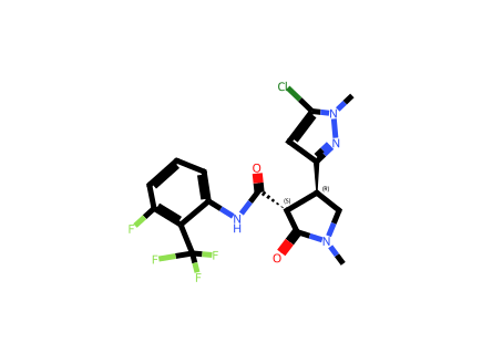 CN1C[C@H](c2cc(Cl)n(C)n2)[C@@H](C(=O)Nc2cccc(F)c2C(F)(F)F)C1=O